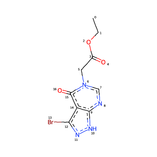 CCOC(=O)Cn1cnc2[nH]nc(Br)c2c1=O